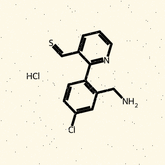 Cl.NCc1cc(Cl)ccc1-c1ncccc1C=S